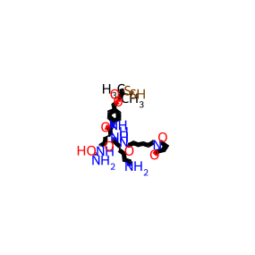 CC(C)(SS)C(=O)OCc1ccc(NC(=O)[C@H](CCCNC(N)O)NC(=O)[C@H](CCCCN)NC(=O)CCCCCN2C(=O)C=CC2=O)cc1